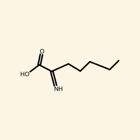 CCCCCC(=N)C(=O)O